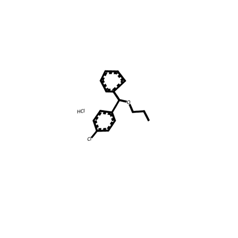 CCCOC(c1ccccc1)c1ccc(Cl)cc1.Cl